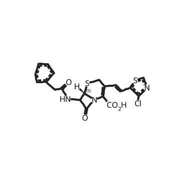 O=C(Cc1ccccc1)NC1C(=O)N2C(C(=O)O)=C(C=Cc3scnc3Cl)CS[C@@H]12